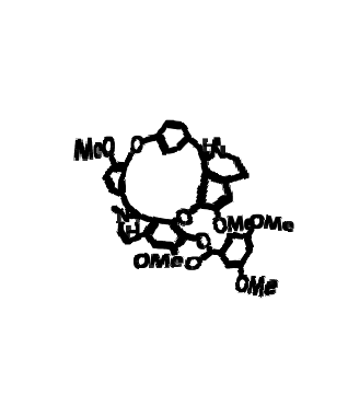 COc1cc(OC)cc(C(=O)Oc2c(OC)cc3c4c2Oc2cc5c(cc2OC)CCN(C)[C@H]5Cc2ccc(cc2)Oc2cc(ccc2OC)C[C@@H]4N(C)CC3)c1